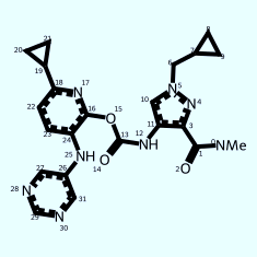 CNC(=O)c1nn(CC2CC2)cc1NC(=O)Oc1nc(C2CC2)ccc1Nc1cncnc1